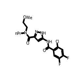 CCCN(CCOC)C(=O)c1cc(NC(=O)c2cc(F)c(F)cc2Cl)[nH]n1